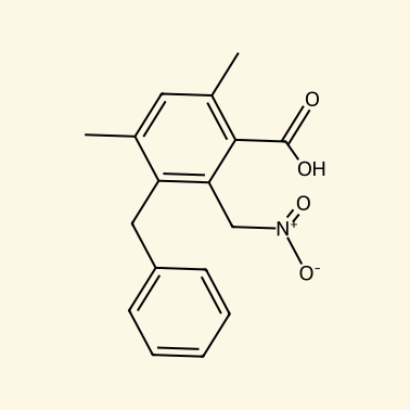 Cc1cc(C)c(C(=O)O)c(C[N+](=O)[O-])c1Cc1ccccc1